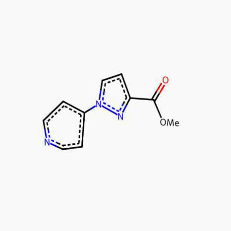 COC(=O)c1ccn(-c2ccncc2)n1